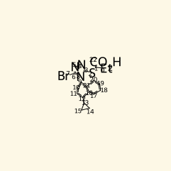 CCC(Sc1nnc(Br)n1-c1ccc(C2CC2)c2ccccc12)C(=O)O